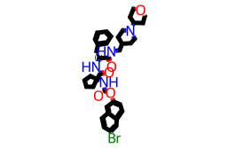 O=C(NC1(C(=O)N[C@H](Cc2ccccc2)C(=O)NCC2CCN(C3CCOCC3)CC2)CCCC1)Oc1ccc2cc(Br)ccc2c1